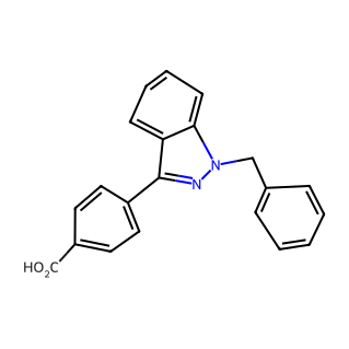 O=C(O)c1ccc(-c2nn(Cc3ccccc3)c3ccccc23)cc1